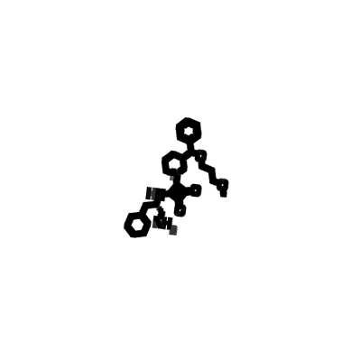 COCCCOC(c1ccccc1)C1CCCN(c2c(N[C@H](CN)CC3CCCCC3)c(=O)c2=O)C1